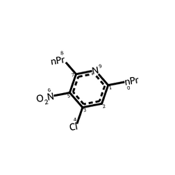 CCCc1cc(Cl)c([N+](=O)[O-])c(CCC)n1